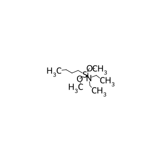 CCCC[Si](OC)(OC)N(CC)CC